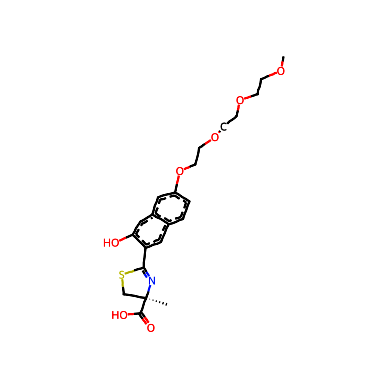 COCCOCCOCCOc1ccc2cc(C3=N[C@@](C)(C(=O)O)CS3)c(O)cc2c1